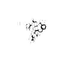 Cc1nc(C)c(N2CCN(C(=O)c3cc(Cc4nn(OC(=O)C(F)(F)F)c(=O)c(C)c4C)ccc3F)CC2=O)s1